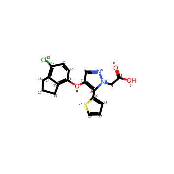 O=C(O)Cn1ncc(Oc2ccc(Cl)c3c2CCC3)c1-c1cccs1